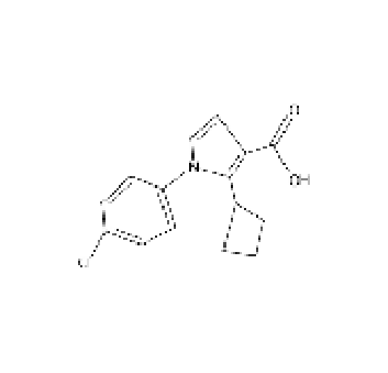 O=C(O)c1ccn(-c2ccc(Cl)cc2)c1C1CCC1